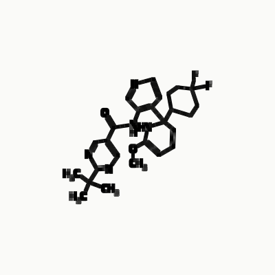 COC1=CC=CC(c2ccncc2NC(=O)c2cnc(C(C)(C)C)nc2)(C2CCC(F)(F)CC2)N1